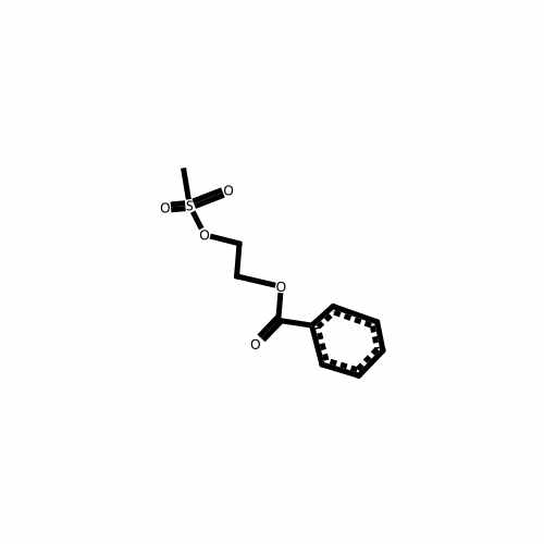 CS(=O)(=O)OCCOC(=O)c1ccccc1